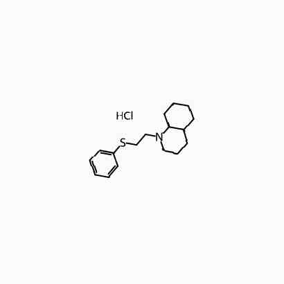 Cl.c1ccc(SCCN2CCCC3CCCCC32)cc1